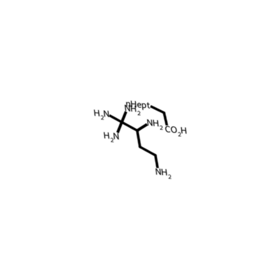 CCCCCCCCC(=O)O.NCCC(N)C(N)(N)N